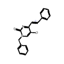 O=c1nc(/C=C/c2ccccc2)c(Cl)cn1Cc1ccccc1